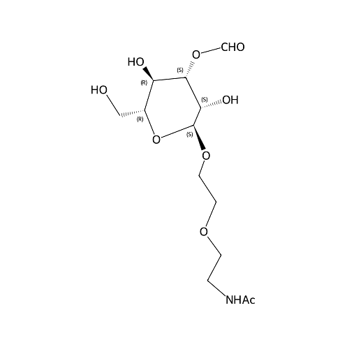 CC(=O)NCCOCCO[C@H]1O[C@H](CO)[C@@H](O)[C@H](OC=O)[C@@H]1O